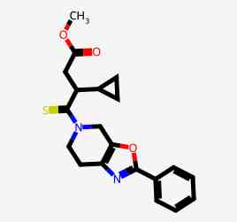 COC(=O)CC(C(=S)N1CCc2nc(-c3ccccc3)oc2C1)C1CC1